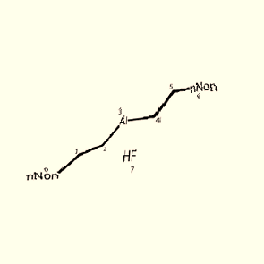 CCCCCCCCCC[CH2][Al][CH2]CCCCCCCCCC.F